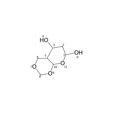 OC1CC(O)C2COCOC2O1